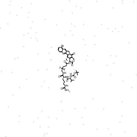 CC[C@@]1(OC(=O)CCC(F)(F)CNC(=O)[C@H](CCCNC(N)=O)NC(=O)[C@@H](NC(=O)OC(C)(C)C)C(C)C)C(=O)OCc2c1cc1n(c2=O)Cc2cc3c(Br)cccc3nc2-1